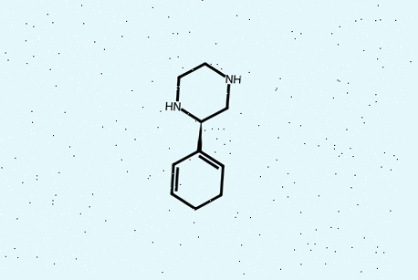 C1=CC([C@@H]2CNCCN2)=CCC1